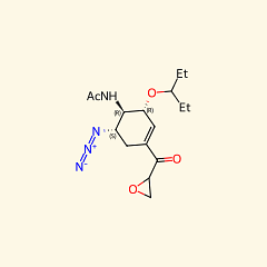 CCC(CC)O[C@@H]1C=C(C(=O)C2CO2)C[C@H](N=[N+]=[N-])[C@H]1NC(C)=O